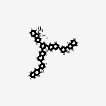 CC1(C)c2ccccc2-c2ccc(-c3cc4c5cc6ccc(-c7ccc8oc9cc%10ccccc%10cc9c8c7)cc6cc5n5c6cc7cc(-c8ccc9oc%10cc%11ccccc%11cc%10c9c8)ccc7cc6c(c3)c45)cc21